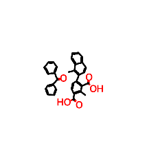 Cc1c(C(=O)O)ccc(-c2ccc3ccccc3c2C)c1C(=O)O.O=C(c1ccccc1)c1ccccc1